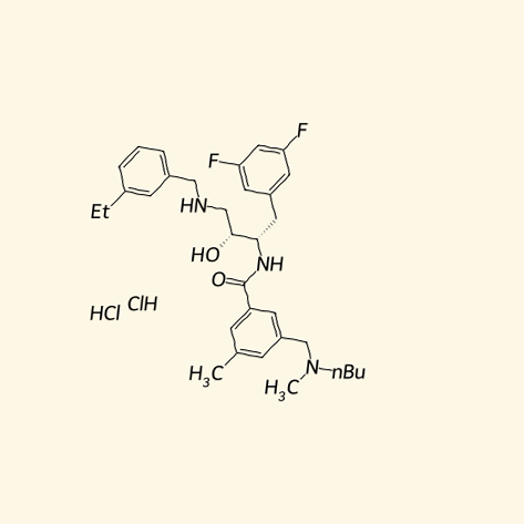 CCCCN(C)Cc1cc(C)cc(C(=O)N[C@@H](Cc2cc(F)cc(F)c2)[C@H](O)CNCc2cccc(CC)c2)c1.Cl.Cl